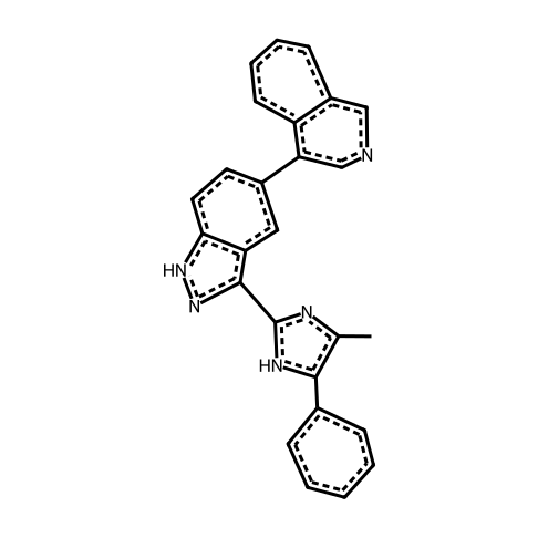 Cc1nc(-c2n[nH]c3ccc(-c4cncc5ccccc45)cc23)[nH]c1-c1ccccc1